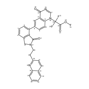 O=C1c2c(cccc2-c2ccc3c(c2)c(=O)ncn3C(F)(F)C(=O)OF)CN1CCc1ccc2ccccc2n1